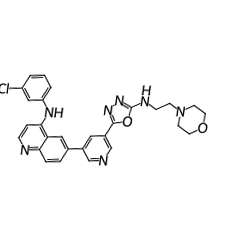 Clc1cccc(Nc2ccnc3ccc(-c4cncc(-c5nnc(NCCN6CCOCC6)o5)c4)cc23)c1